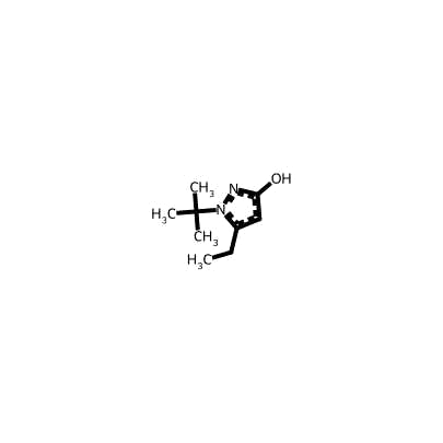 CCc1cc(O)nn1C(C)(C)C